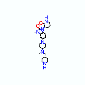 CN(CC1CCNCC1)C1CCN(c2ccc3c(c2)n(C)c(=O)n3C2CCCNC2=O)CC1